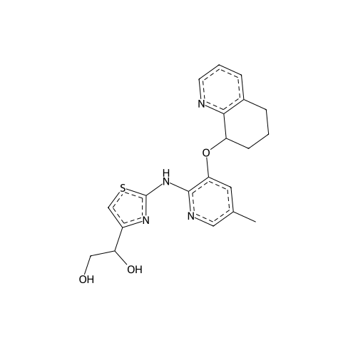 Cc1cnc(Nc2nc(C(O)CO)cs2)c(OC2CCCc3cccnc32)c1